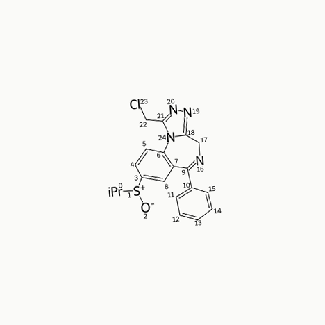 CC(C)[S+]([O-])c1ccc2c(c1)C(c1ccccc1)=NCc1nnc(CCl)n1-2